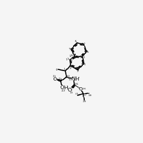 CC(c1ccc2ccccc2c1)C(NC(=O)OC(C)(C)C)C(=O)O